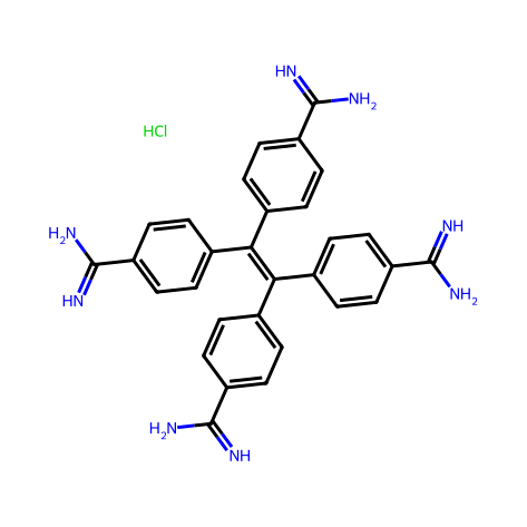 Cl.N=C(N)c1ccc(C(=C(c2ccc(C(=N)N)cc2)c2ccc(C(=N)N)cc2)c2ccc(C(=N)N)cc2)cc1